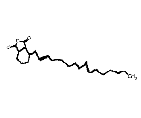 CCCCCCCCCCCCCC=CCC1CCCC2C(=O)OC(=O)C12